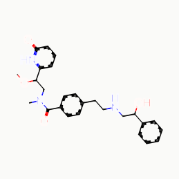 COC(CN(C)C(=O)c1ccc(CCNCC(O)c2ccccc2)cc1)c1cccc(=O)[nH]1